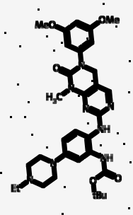 CCN1CCN(c2ccc(Nc3ncc4c(n3)N(C)C(=O)N(c3cc(OC)cc(OC)c3)C4)c(NC(=O)OC(C)(C)C)c2)CC1